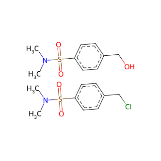 CN(C)S(=O)(=O)c1ccc(CCl)cc1.CN(C)S(=O)(=O)c1ccc(CO)cc1